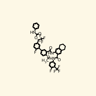 COc1ccc(-c2cc([C@H](OC(=O)Nc3ccccc3)C(F)(F)F)ccc2F)cc1C(=O)Nc1cc2c(cc1C(=O)Nc1ccc(F)c(C(F)(F)F)c1)CCCC2